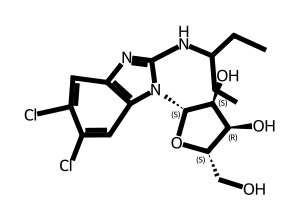 CCC(CC)Nc1nc2cc(Cl)c(Cl)cc2n1[C@H]1O[C@@H](CO)[C@H](O)[C@@H]1O